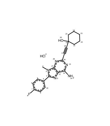 Cl.Cn1c(-c2ccc(F)cc2)nc2c(N)nc(C#CC3(O)CCCCC3)nc21